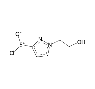 [O-][S+](Cl)c1ccn(CCO)n1